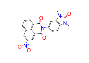 Cn1c(=O)n(C)c2cc(N3C(=O)c4cccc5cc([N+](=O)[O-])cc(c45)C3=O)ccc21